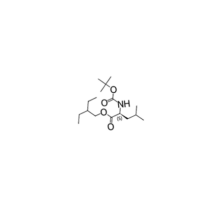 CCC(CC)COC(=O)[C@H](CC(C)C)NC(=O)OC(C)(C)C